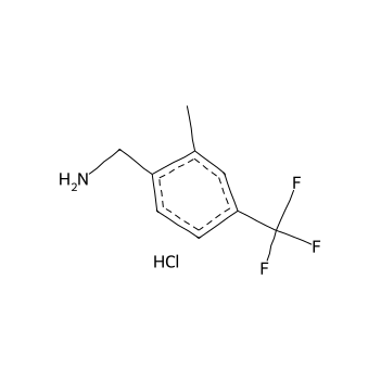 Cc1cc(C(F)(F)F)ccc1CN.Cl